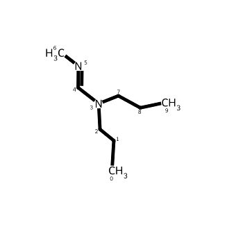 CCCN(/C=N/C)CCC